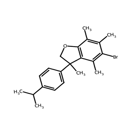 Cc1c(C)c2c(c(C)c1Br)C(C)(c1ccc(C(C)C)cc1)CO2